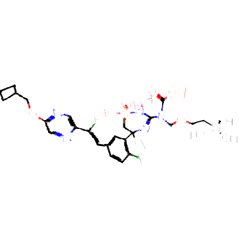 CN1C(N(COCC[Si](C)(C)C)C(=O)O)=NC(C)(c2cc(C=C(F)c3cnc(OCC4CCC4)cn3)ccc2F)CS1(O)O